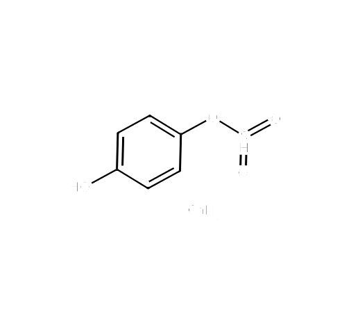 O=[SH](=O)Oc1ccc(O)cc1.[CaH2]